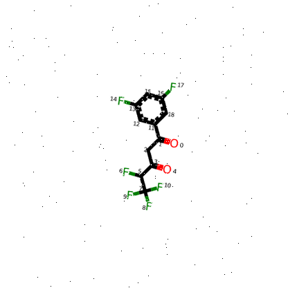 O=C(CC(=O)C(F)C(F)(F)F)c1cc(F)cc(F)c1